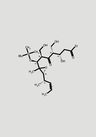 C/C=C\[C@H](C)[C@H]1OC1(C)[C@@H](O[Si](C)(C)C(C)(C)C)[C@@H](CO)C(=O)[C@H](CO)[C@@H](O)CC(=O)CC